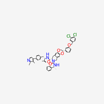 C=C(C)[C@H](Cc1ccc(-c2ccnc(C)c2C)cc1)NC(=O)[C@@H]1Cc2cc3c(cc2CN1C(=O)N[C@H](C)c1ccccc1)O[C@@H](c1cccc(OCc2ccc(Cl)c(Cl)c2)c1)CO3